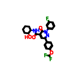 O=C(N[C@@H]1CCCC[C@@H]1O)c1cc(-c2ccc(OC(F)F)cc2)nn(-c2cccc(F)c2)c1=O